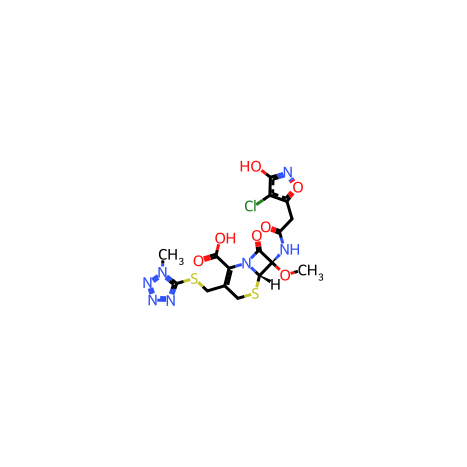 CO[C@@]1(NC(=O)Cc2onc(O)c2Cl)C(=O)N2C(C(=O)O)=C(CSc3nnnn3C)CS[C@H]21